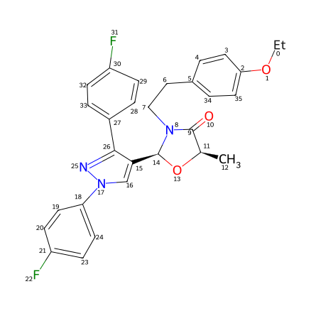 CCOc1ccc(CCN2C(=O)[C@@H](C)O[C@H]2c2cn(-c3ccc(F)cc3)nc2-c2ccc(F)cc2)cc1